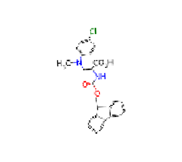 CN(C[C@H](NC(=O)OCC1c2ccccc2-c2ccccc21)C(=O)O)c1ccc(Cl)cc1